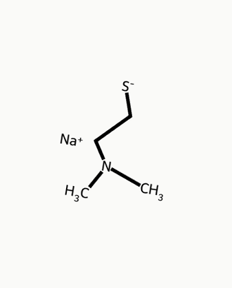 CN(C)CC[S-].[Na+]